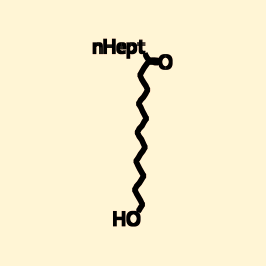 CCCCCCCC(=O)CCCCCCCCCCO